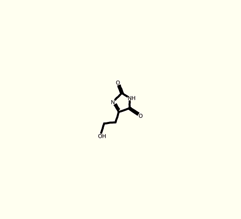 O=C1N=C(CCO)C(=O)N1